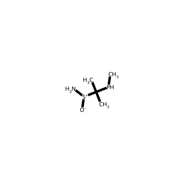 CPC(C)(C)[S+](N)[O-]